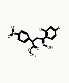 COC(=O)C(CC(=NO)c1ccc(Cl)cc1Cl)c1ccc([N+](=O)[O-])cc1